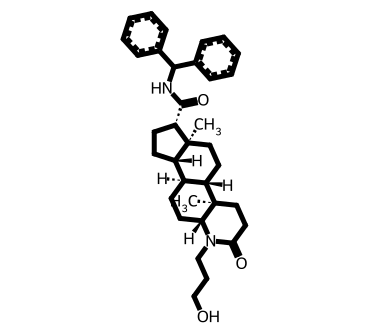 C[C@]12CC[C@H]3[C@@H](CC[C@H]4N(CCCO)C(=O)CC[C@]34C)[C@@H]1CC[C@@H]2C(=O)NC(c1ccccc1)c1ccccc1